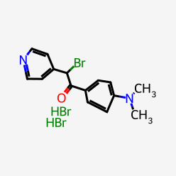 Br.Br.CN(C)c1ccc(C(=O)C(Br)c2ccncc2)cc1